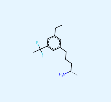 CCc1cc(CCC[C@H](C)N)cc(C(C)(F)F)c1